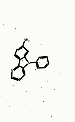 Nc1ccc2c3ncccc3n(-c3ccccc3)c2c1